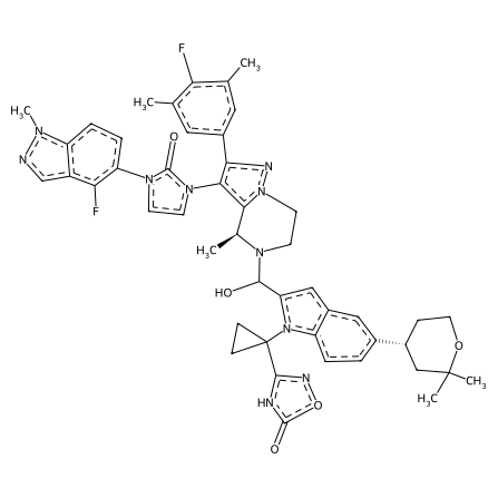 Cc1cc(-c2nn3c(c2-n2ccn(-c4ccc5c(cnn5C)c4F)c2=O)[C@H](C)N(C(O)c2cc4cc([C@@H]5CCOC(C)(C)C5)ccc4n2C2(c4noc(=O)[nH]4)CC2)CC3)cc(C)c1F